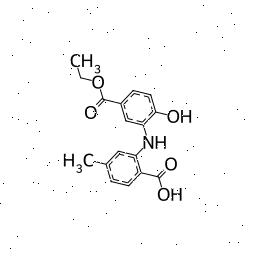 CCOC(=O)c1ccc(O)c(Nc2cc(C)ccc2C(=O)O)c1